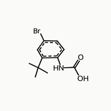 CC(C)(C)c1cc(Br)ccc1NC(=O)O